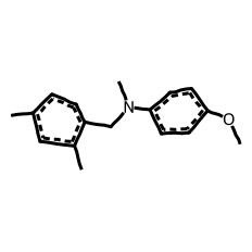 COc1ccc(N(C)Cc2ccc(C)cc2C)cc1